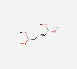 COC(C=CCC(OC)OC)OC